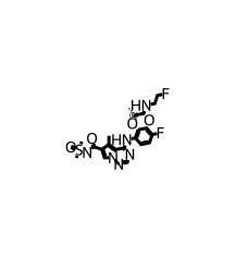 Cc1c(C(=O)N=S(C)(C)=O)cn2ncnc(Nc3ccc(F)cc3O[C@H](C)C(=O)NCCF)c12